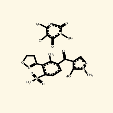 Cc1[nH]c(=O)n(C(C)(C)C)c(=O)c1Cl.Cc1c(C(=O)c2cnn(C)c2O)ccc(S(C)(=O)=O)c1C1=NOCC1